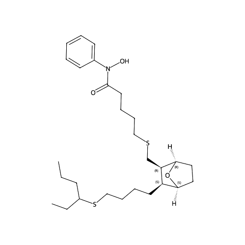 CCCC(CC)SCCCC[C@H]1[C@@H](CSCCCCC(=O)N(O)c2ccccc2)[C@H]2CC[C@@H]1O2